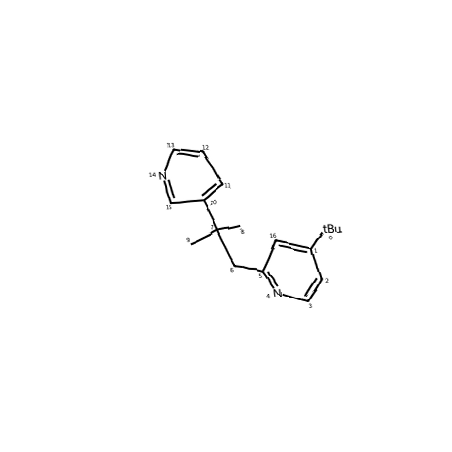 CC(C)(C)c1ccnc(CC(C)(C)c2cccnc2)c1